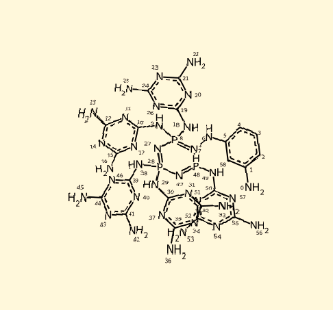 Nc1cccc(N[N+]2=P(Nc3nc(N)nc(N)n3)(Nc3nc(N)nc(N)n3)N=P(Nc3nc(N)nc(N)n3)(Nc3nc(N)nc(N)n3)N=[PH]2Nc2nc(N)nc(N)n2)c1